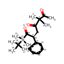 CC(=O)C(C)(C)C(=O)C[C@H](C(=O)[Si](C)(C)C(C)(C)C)c1ccccc1